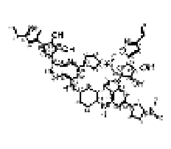 CCc1cc([C@H]2O[C@@H](n3cnc4c(N[C@H]5CC[C@H](Nc6nc(N7CC[C@@H](N(C)C)C7)nc7c6ncn7[C@@H]6O[C@H](c7cc(CC)no7)[C@@H](O)[C@H]6O)CC5)nc(N5CC[C@@H](N(C)C)C5)nc43)[C@H](O)[C@@H]2O)on1